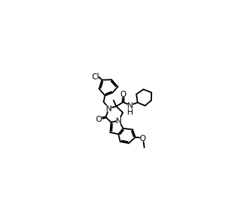 COc1ccc2cc3n(c2c1)CC(C)(C(=O)NC1CCCCC1)N(Cc1cccc(Cl)c1)C3=O